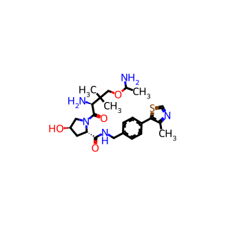 Cc1ncsc1-c1ccc(CNC(=O)[C@@H]2C[C@@H](O)CN2C(=O)[C@@H](N)C(C)(C)COC(C)N)cc1